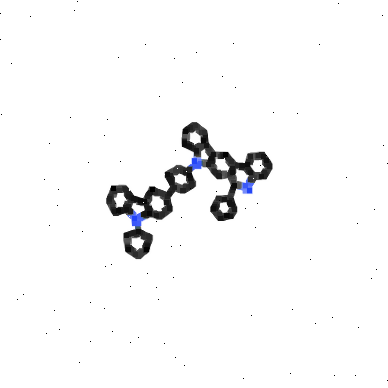 c1ccc(-c2nc3ccccc3c3cc4c5ccccc5n(-c5ccc(-c6ccc7c(c6)c6ccccc6n7-c6ccccc6)cc5)c4cc23)cc1